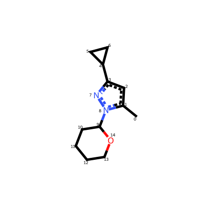 Cc1cc(C2CC2)nn1C1CCCCO1